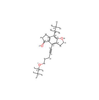 CC(C)(C)[Si](C)(C)OCCCC#Cc1c2c(c([Si](C)(C)C(C)(C)C)c3c1C(=O)CC3)OCC2